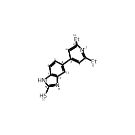 CCc1cc(-c2ccc3[nH]c(S)nc3c2)cc(CC)n1